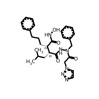 CC(C)C[C@@H](C(=O)NN(Cc1ccccc1)C(=O)Cn1ccnn1)[C@H](CCCc1ccccc1)C(=O)NO